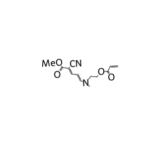 C=CC(=O)OCCN(C)/C=C/C=C(\C#N)C(=O)OC